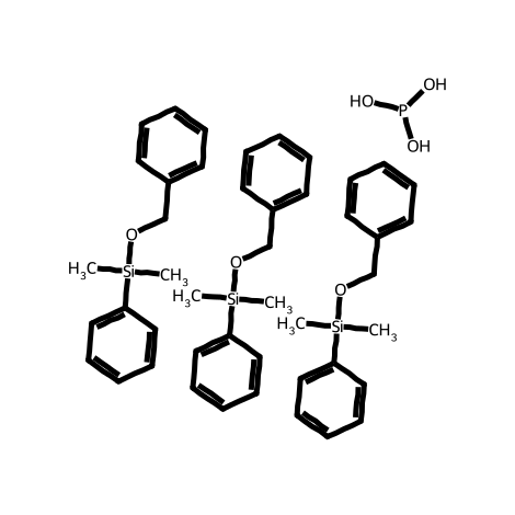 C[Si](C)(OCc1ccccc1)c1ccccc1.C[Si](C)(OCc1ccccc1)c1ccccc1.C[Si](C)(OCc1ccccc1)c1ccccc1.OP(O)O